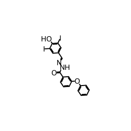 O=C(N/N=C/c1cc(I)c(O)c(I)c1)c1cccc(Oc2ccccc2)c1